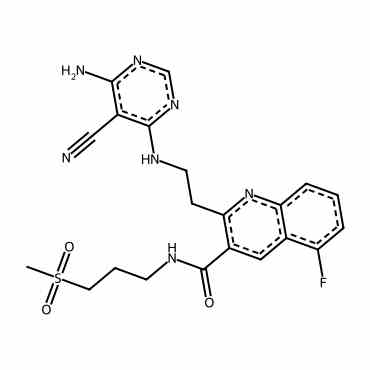 CS(=O)(=O)CCCNC(=O)c1cc2c(F)cccc2nc1CCNc1ncnc(N)c1C#N